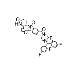 O=C1CCC(N2C(=O)c3ccc(C(=O)N4CCN(C(c5ccc(F)cc5F)c5ccc(F)cc5F)CC4)cc3C2=O)C(=O)N1